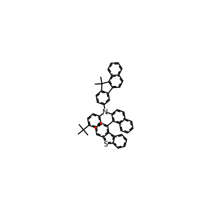 CC(C)(C)c1ccc(N(c2ccc3c(c2)-c2ccc4ccccc4c2C3(C)C)c2ccc3ccccc3c2-c2cccc3sc4ccccc4c23)cc1